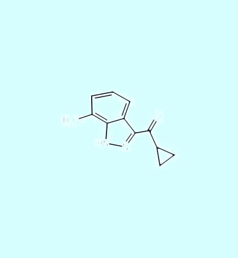 Cc1cccc2c(C(=O)C3CC3)n[nH]c12